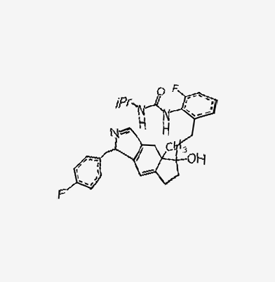 CC(C)NC(=O)Nc1c(F)cccc1CCC1(O)CCC2=CC3=C(C=NC3c3ccc(F)cc3)CC21C